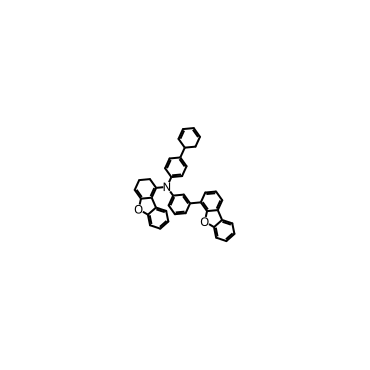 C1=CCC(c2ccc(N(C3=c4c(oc5ccccc45)=CCC3)c3cccc(-c4cccc5c4oc4ccccc45)c3)cc2)C=C1